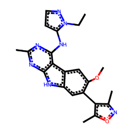 CCn1nccc1Nc1nc(C)nc2[nH]c3cc(-c4c(C)noc4C)c(OC)cc3c12